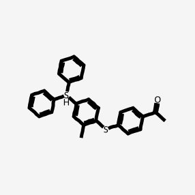 CC(=O)c1ccc(Sc2ccc([SH](c3ccccc3)c3ccccc3)cc2C)cc1